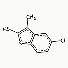 Cc1c(S)sc2ccc(Cl)cc12